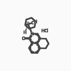 Cl.O=c1c2cccc3c2c(cn1[C@@H]1CN2CCC1CC2)CCC3